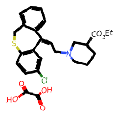 CCOC(=O)C1CCCN(CC=C2c3ccccc3CSc3ccc(Cl)cc32)C1.O=C(O)C(=O)O